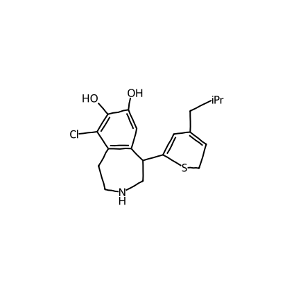 CC(C)CC1=CCSC(C2CNCCc3c2cc(O)c(O)c3Cl)=C1